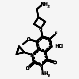 COc1c(N2CC(CN)C2)c(F)cc2c(=O)n(N)c(=O)n(C3CC3)c12.Cl